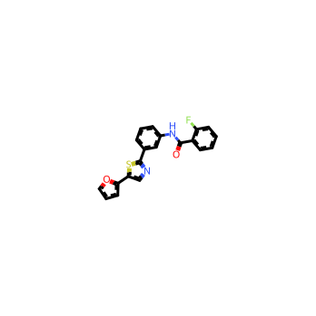 O=C(Nc1cccc(-c2ncc(-c3ccco3)s2)c1)c1ccccc1F